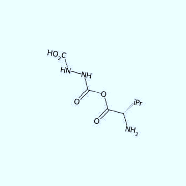 CC(C)[C@H](N)C(=O)OC(=O)NNC(=O)O